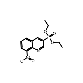 CCOP(=O)(OCC)c1cnc2c([N+](=O)[O-])cccc2c1